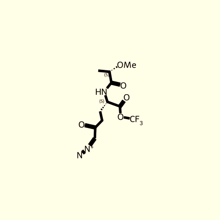 CO[C@@H](C)C(=O)N[C@@H](CCC(=O)C=[N+]=[N-])C(=O)OC(F)(F)F